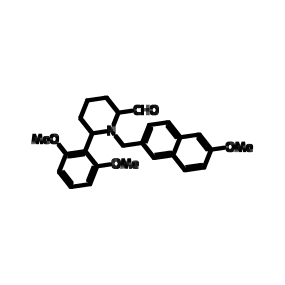 COc1ccc2cc(CN3C(C=O)CCCC3c3c(OC)cccc3OC)ccc2c1